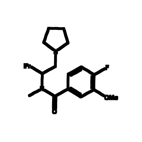 COc1cc(C(=O)N(C)C(CN2CCCC2)C(C)C)ccc1F